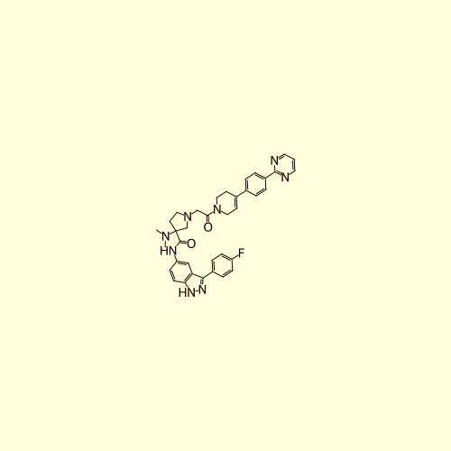 CN(C)C1(C(=O)Nc2ccc3[nH]nc(-c4ccc(F)cc4)c3c2)CCN(CC(=O)N2CC=C(c3ccc(-c4ncccn4)cc3)CC2)C1